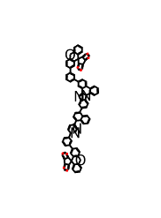 c1cc(-c2ccc3c(c2)C2(c4ccccc4O3)c3ccccc3-c3ccccc32)cc(-c2ccc3c4ccccc4n4c5ccc(-c6ccc(-c7ccc(-c8cccc(-c9ccc%10c(c9)C9(c%11ccccc%11O%10)c%10ccccc%10-c%10ccccc%109)c8)nn7)c7ccccc67)cc5nc4c3c2)c1